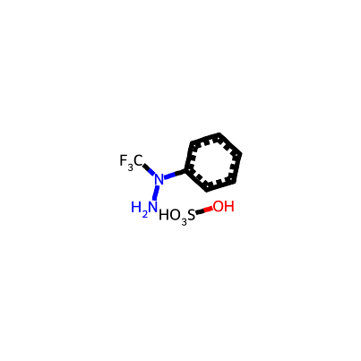 NN(c1ccccc1)C(F)(F)F.O=S(=O)(O)O